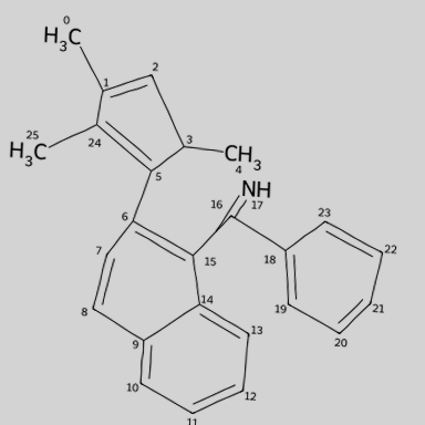 CC1=CC(C)C(c2ccc3ccccc3c2C(=N)c2ccccc2)=C1C